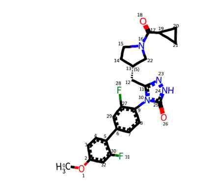 COc1ccc(-c2ccc(-n3c(C[C@@H]4CCN(C(=O)C5CC5)C4)n[nH]c3=O)c(F)c2)c(F)c1